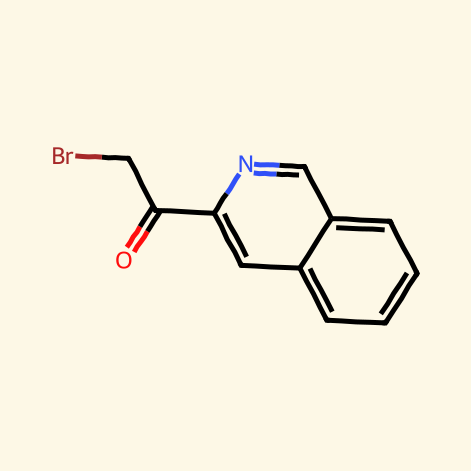 O=C(CBr)c1cc2ccccc2cn1